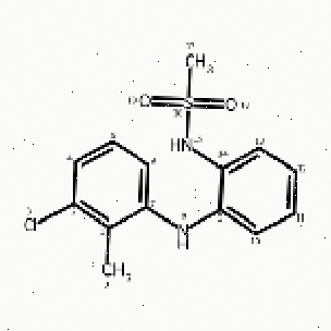 Cc1c(Cl)cccc1Nc1ccccc1NS(C)(=O)=O